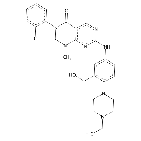 CCN1CCN(c2ccc(Nc3ncc4c(n3)N(C)CN(c3ccccc3Cl)C4=O)cc2CO)CC1